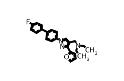 CCN(CC)Cc1cn(-c2ccc(-c3ccc(F)cc3)cc2)nc1-c1ccco1